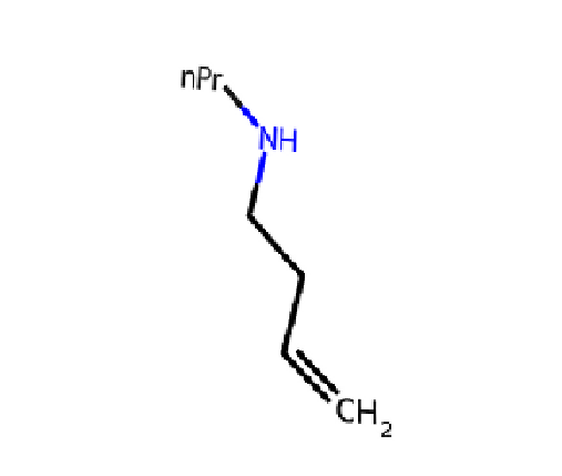 C=CCCNCCC